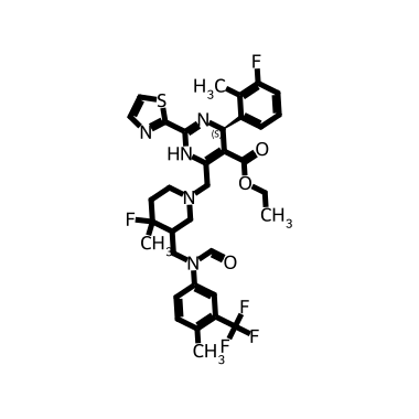 CCOC(=O)C1=C(CN2CCC(C)(F)C(CN(C=O)c3ccc(C)c(C(F)(F)F)c3)C2)NC(c2nccs2)=N[C@H]1c1cccc(F)c1C